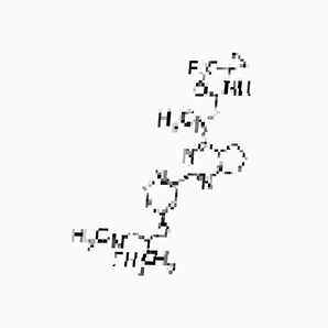 CC(CN(C)C)Oc1ccnc(-c2nc3c(c(N(C)CC(=O)NC4(C(F)(F)F)CC4)n2)CCC3)c1